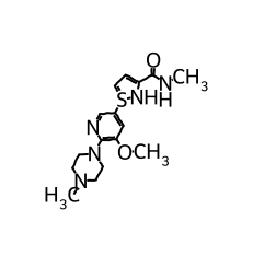 CNC(=O)C1=CC=S(c2cnc(N3CCN(C)CC3)c(OC)c2)N1